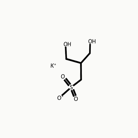 O=S(=O)([O-])CC(CO)CO.[K+]